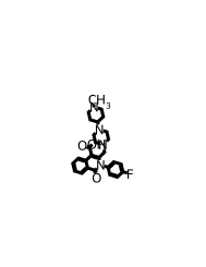 CN1CCC(N2CCN(Cc3c(C(=O)O)c4ccccc4c(=O)n3-c3ccc(F)cc3)CC2)CC1